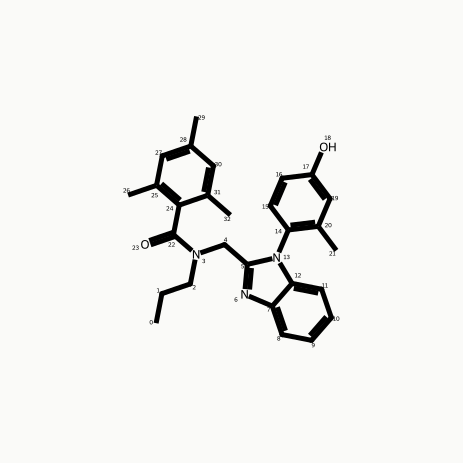 CCCN(Cc1nc2ccccc2n1-c1ccc(O)cc1C)C(=O)c1c(C)cc(C)cc1C